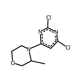 CC1COCCN1c1cc(Cl)nc(Cl)n1